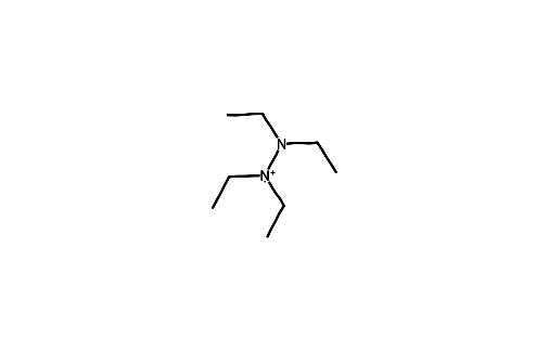 CCN(CC)[N+](CC)CC